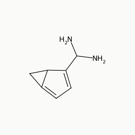 NC(N)C1=CC=C2CC21